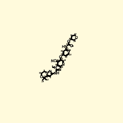 Cn1c(Nc2cc3n(n2)CCOC3(C)C)nc2ncc(Oc3ccnc(NC(=O)O[C@H]4CCOC4)c3)c(C#N)c21